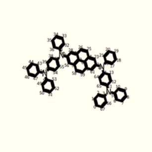 c1ccc(N(c2ccccc2)c2ccc(N(c3ccccc3)c3cc4ccc5cc(N(c6ccccc6)c6ccc(N(c7ccccc7)c7ccccc7)cc6)cc6ccc(c3)c4c56)cc2)cc1